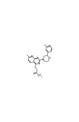 C=C(CCc1nc(N2CCOC(c3ccnc(C)c3)C2)nc2nc(C)ccc12)C(F)(F)F